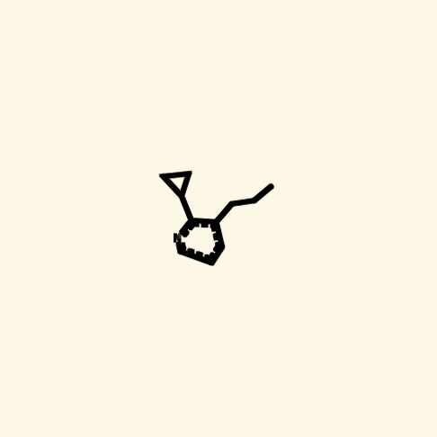 CCCc1cccnc1C1CC1